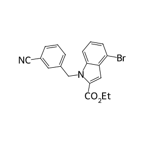 CCOC(=O)c1cc2c(Br)cccc2n1Cc1cccc(C#N)c1